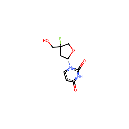 O=c1ccn([C@@H]2C[C@](F)(CO)CO2)c(=O)[nH]1